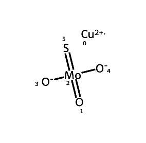 [Cu+2].[O]=[Mo]([O-])([O-])=[S]